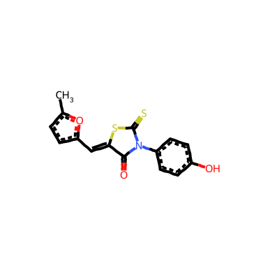 Cc1ccc(/C=C2\SC(=S)N(c3ccc(O)cc3)C2=O)o1